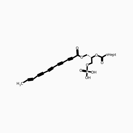 CC#CC#CC#CC#CC#CC(=O)OC[C@@H](COP(=O)(O)O)OC(=O)CCCCCCC